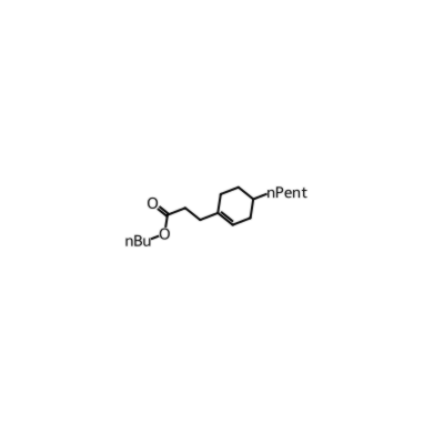 CCCCCC1CC=C(CCC(=O)OCCCC)CC1